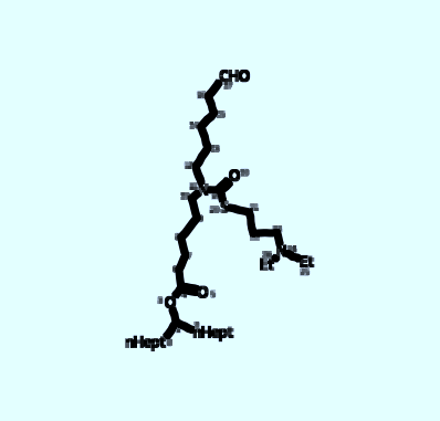 CCCCCCCC(CCCCCCC)OC(=O)CCCCCN(CCCCCC=O)C(=O)SCCCN(CC)CC